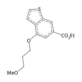 CCOC(=O)c1cc(OCCCOC)c2ccsc2c1